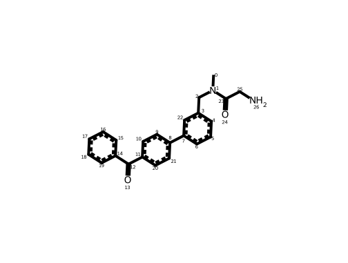 CN(Cc1cccc(-c2ccc(C(=O)c3ccccc3)cc2)c1)C(=O)CN